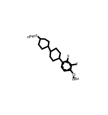 CCCCCC1CCC(C2CCC(c3ccc(OCCCC)c(F)c3F)CC2)CC1